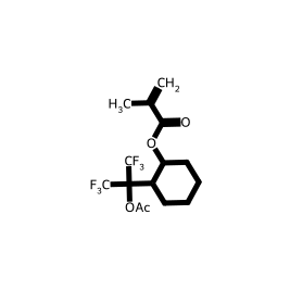 C=C(C)C(=O)OC1CCCCC1C(OC(C)=O)(C(F)(F)F)C(F)(F)F